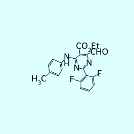 CCOC(=O)c1c(C=O)nc(-c2c(F)cccc2F)nc1Nc1ccc(C)cc1